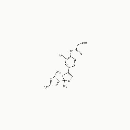 CSCC(=O)Nc1ccc(C2=NOC(c3cc(C(F)(F)F)nn3C)(C(F)(F)F)C2)cc1C